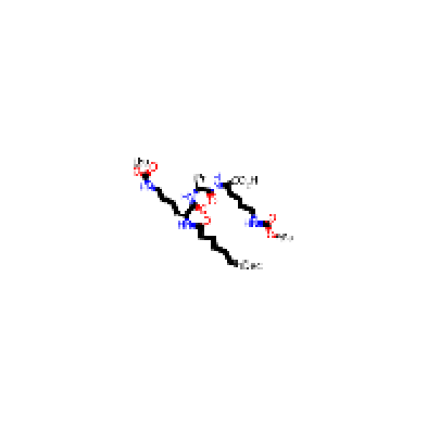 CCCCCCCCCCCCCCCC(=O)N[C@@H](CCCCNC(=O)OC(C)(C)C)C(=O)N[C@H](C(=O)NC(CCCCNC(=O)OC(C)(C)C)C(=O)O)C(C)C